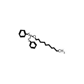 CCCCCCCCCCOP(Sc1ccccc1)Sc1ccccc1